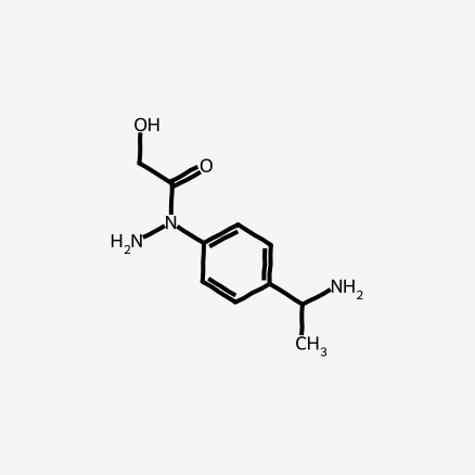 CC(N)c1ccc(N(N)C(=O)CO)cc1